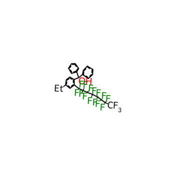 CCc1ccc(C(O)(c2ccccc2)c2ccccc2)c(C(F)(F)C(F)(F)C(F)(F)C(F)(F)C(F)(F)C(F)(F)C(F)(F)C(F)(F)F)c1